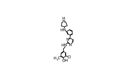 Cc1cc(CCNc2nccc(-c3cccc(NC4CCNCC4)c3)n2)cc(Cl)c1O